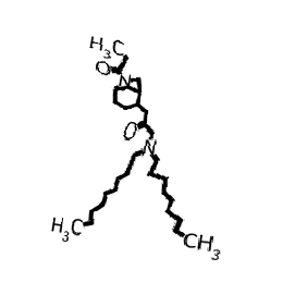 CCCCCCCCCN(CCCCCCCCC)CC(=O)CC1CCC2CC1CN2C(=O)CC